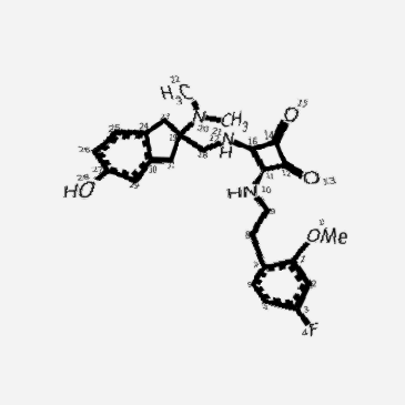 COc1cc(F)ccc1CCN[C@@H]1C(=O)C(=O)C1NCC1(N(C)C)Cc2ccc(O)cc2C1